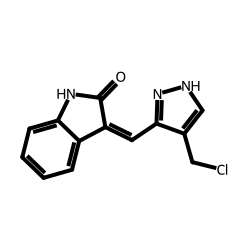 O=C1Nc2ccccc2C1=Cc1n[nH]cc1CCl